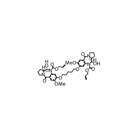 C=CCOC(=O)N1c2cc(OCCCCCOc3cc4c(cc3OC)C(=O)N3CCC[C@H]3[C@H](O)N4C(=O)OCC=C)c(OC)cc2C(=O)N2CCC[C@H]2[C@@H]1O